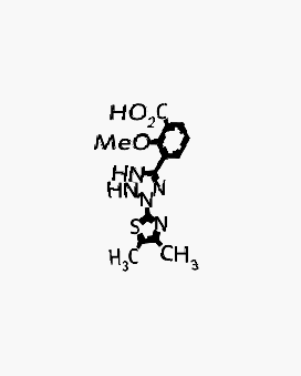 COc1c(C(=O)O)cccc1C1=NN(c2nc(C)c(C)s2)NN1